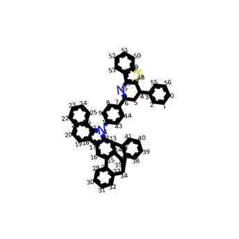 c1ccc(C2CC(c3ccc(-n4c5c6c7c(cc5c5ccc8ccccc8c54)-c4ccccc4C(CC7)c4ccccc4-6)cc3)=Nc3c2sc2ccccc32)cc1